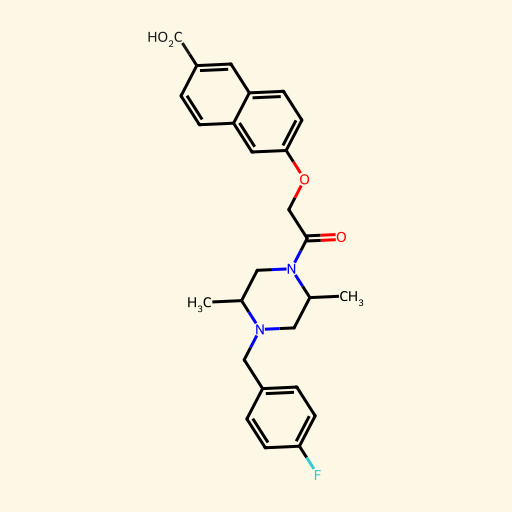 CC1CN(C(=O)COc2ccc3cc(C(=O)O)ccc3c2)C(C)CN1Cc1ccc(F)cc1